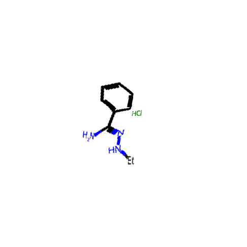 CCNN=C(N)c1ccccc1.Cl